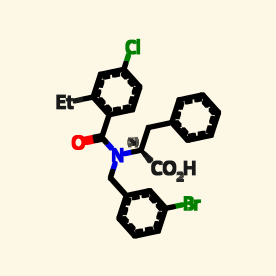 CCc1cc(Cl)ccc1C(=O)N(Cc1cccc(Br)c1)[C@@H](Cc1ccccc1)C(=O)O